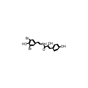 O=C(N/C=C/c1cc(Br)c(O)c(Br)c1)/C(O)=C/c1ccc(O)cc1